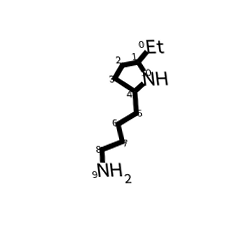 CCC1CCC(CCCCN)N1